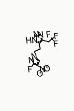 O=[N+]([O-])c1cn(CCc2[nH]nnc2CC(F)(F)F)nc1F